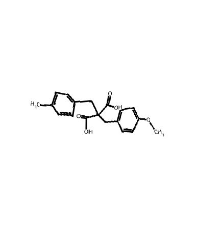 COc1ccc(CC(Cc2ccc(C)cc2)(C(=O)O)C(=O)O)cc1